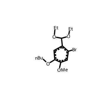 CCCCOc1cc(C(OCC)OCC)c(Br)cc1OC